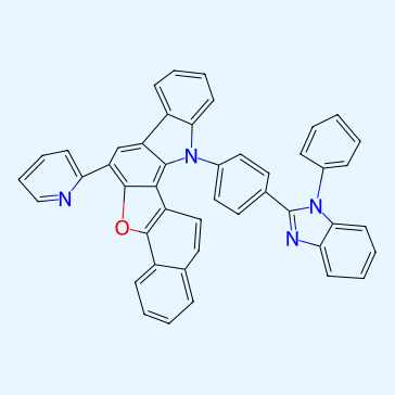 c1ccc(-n2c(-c3ccc(-n4c5ccccc5c5cc(-c6ccccn6)c6oc7c8ccccc8ccc7c6c54)cc3)nc3ccccc32)cc1